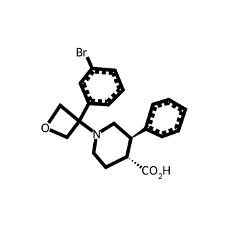 O=C(O)[C@@H]1CCN(C2(c3cccc(Br)c3)COC2)C[C@H]1c1ccccc1